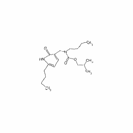 CCCCc1ccc(CN(CCCC)C(=O)OCC(C)C)c(=O)[nH]1